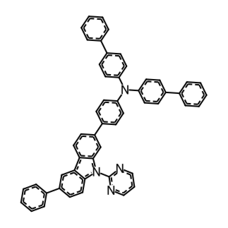 c1ccc(-c2ccc(N(c3ccc(-c4ccccc4)cc3)c3ccc(-c4ccc5c6cc(-c7ccccc7)ccc6n(-c6ncccn6)c5c4)cc3)cc2)cc1